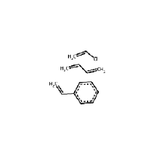 C=CC=C.C=CCl.C=Cc1ccccc1